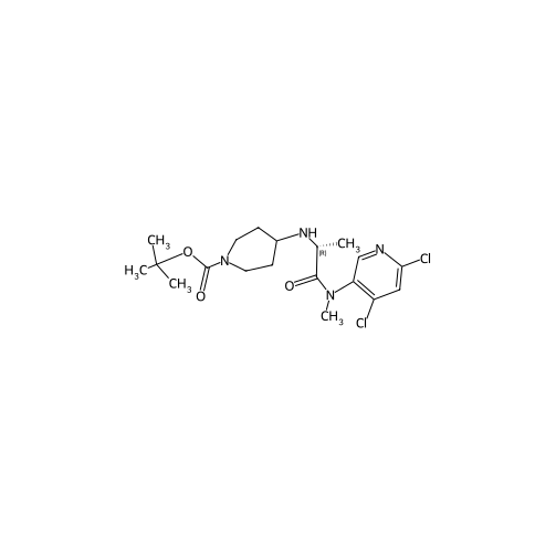 C[C@@H](NC1CCN(C(=O)OC(C)(C)C)CC1)C(=O)N(C)c1cnc(Cl)cc1Cl